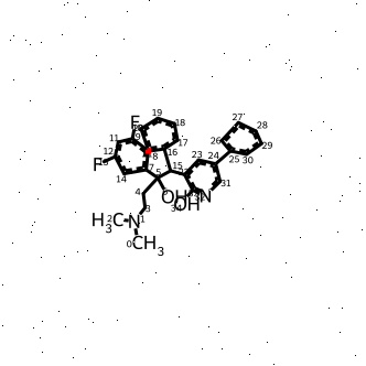 CN(C)CCC(O)(c1cc(F)cc(F)c1)C(c1ccccc1)c1cc(-c2ccccc2)cnc1O